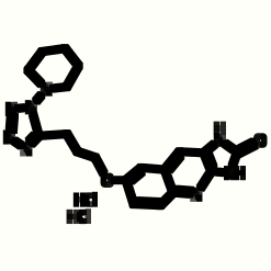 Cl.Cl.O=c1[nH]c2cc3cc(OCCCc4nnnn4N4CCCCC4)ccc3nc2[nH]1